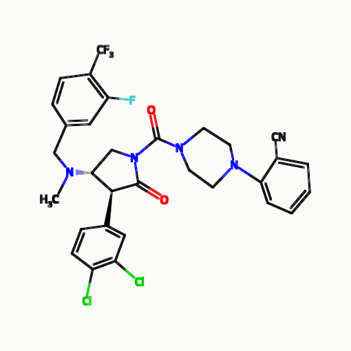 CN(Cc1ccc(C(F)(F)F)c(F)c1)[C@@H]1CN(C(=O)N2CCN(c3ccccc3C#N)CC2)C(=O)[C@H]1c1ccc(Cl)c(Cl)c1